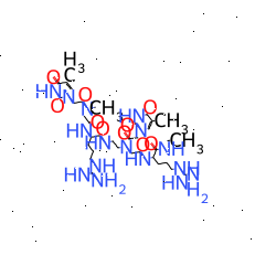 CCNC(=O)C(CCCNC(=N)N)NC(=O)CN(CCNC(=O)C(CCCNC(=N)N)NC(=O)CN(C)C(=O)Cn1cc(C)c(=O)[nH]c1=O)C(=O)Cn1cc(C)c(=O)[nH]c1=O